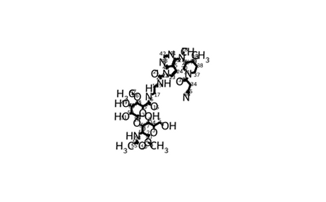 CO[C@@H]1OC(CO)[C@@H](O)[C@H](O[C@@H]2OC(C(=O)NCCNC(=O)n3ccc4c(N(C)[C@H]5CN(C(=O)CC#N)CC[C@H]5C)ncnc43)[C@@H](OC)[C@H](O)C2O)C1NC(C)=O